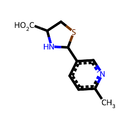 Cc1ccc(C2NC(C(=O)O)CS2)cn1